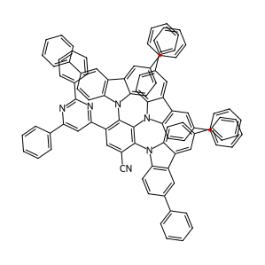 N#Cc1cc(-c2cc(-c3ccccc3)nc(-c3ccccc3)n2)c(-n2c3ccc(-c4ccccc4)cc3c3cc(-c4ccccc4)ccc32)c(-n2c3ccc(-c4ccccc4)cc3c3cc(-c4ccccc4)ccc32)c1-n1c2ccc(-c3ccccc3)cc2c2cc(-c3ccccc3)ccc21